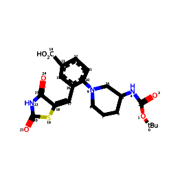 CC(C)(C)OC(=O)NC1CCCN(c2ccc(C(=O)O)cc2C=C2SC(=O)NC2=O)C1